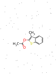 CC(=O)Oc1sc2ccccc2c1C